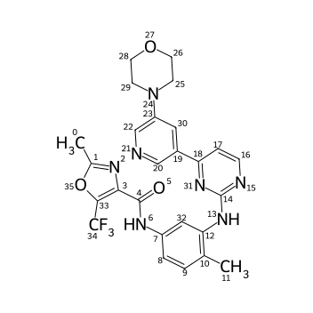 Cc1nc(C(=O)Nc2ccc(C)c(Nc3nccc(-c4cncc(N5CCOCC5)c4)n3)c2)c(C(F)(F)F)o1